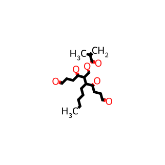 C=C(C)C(=O)OCC(C(=O)CCC=O)C(CCCCC)C(=O)CCC=O